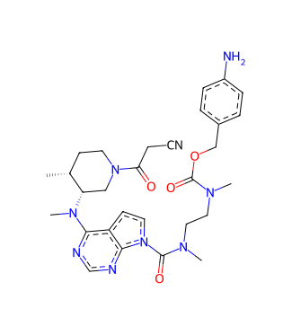 C[C@@H]1CCN(C(=O)CC#N)C[C@@H]1N(C)c1ncnc2c1ccn2C(=O)N(C)CCN(C)C(=O)OCc1ccc(N)cc1